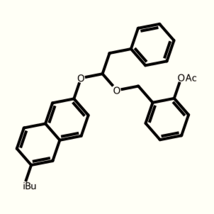 CCC(C)c1ccc2cc(OC(Cc3ccccc3)OCc3ccccc3OC(C)=O)ccc2c1